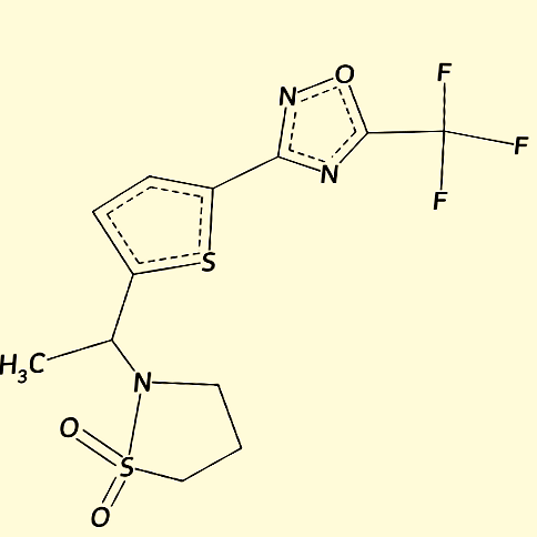 CC(c1ccc(-c2noc(C(F)(F)F)n2)s1)N1CCCS1(=O)=O